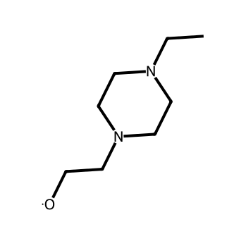 CCN1CCN(CC[O])CC1